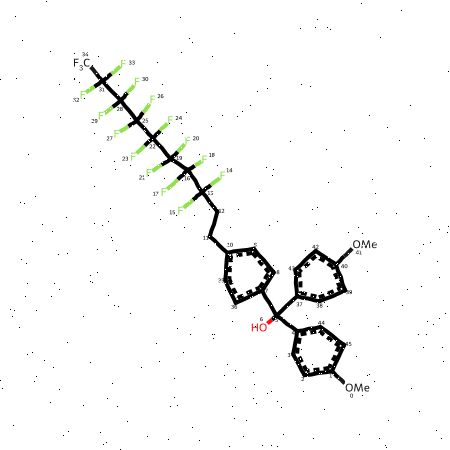 COc1ccc(C(O)(c2ccc(CCC(F)(F)C(F)(F)C(F)(F)C(F)(F)C(F)(F)C(F)(F)C(F)(F)C(F)(F)F)cc2)c2ccc(OC)cc2)cc1